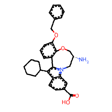 N[C@H]1COc2c(OCc3ccccc3)cccc2-c2c(C3CCCCC3)c3ccc(C(=O)O)cc3n2C1